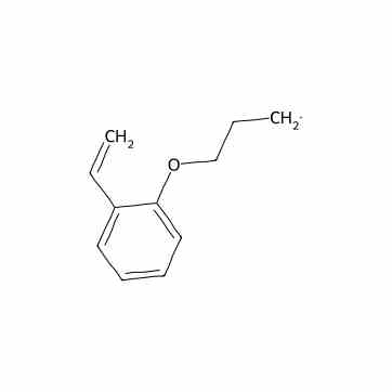 [CH2]CCOc1ccccc1C=C